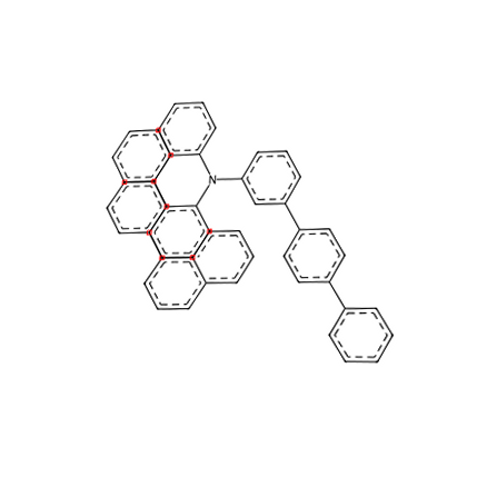 c1ccc(-c2ccc(-c3cccc(N(c4ccccc4-c4ccccc4)c4ccccc4-c4cccc(-c5cccc6ccccc56)c4)c3)cc2)cc1